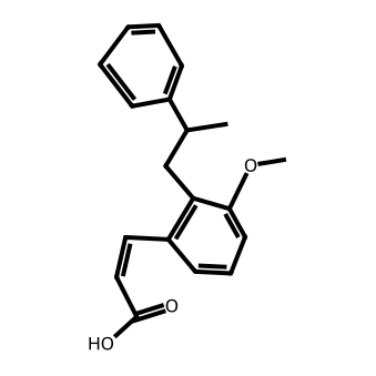 COc1cccc(/C=C\C(=O)O)c1CC(C)c1ccccc1